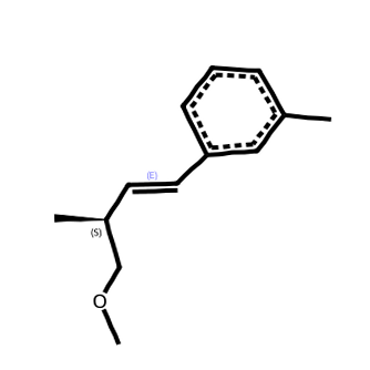 COC[C@@H](C)/C=C/c1cccc(C)c1